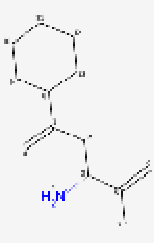 C=C(C[C@@H](N)C(=C)C)C1CCCCC1